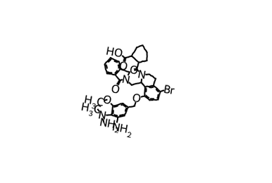 COc1cc(COc2ccc(Br)c3c2C(CN2Cc4ccccc4C2=O)N(C(=O)C2CCCCC2C(=O)O)CC3)cc(N)c1N(C)N